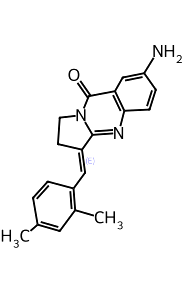 Cc1ccc(/C=C2\CCn3c2nc2ccc(N)cc2c3=O)c(C)c1